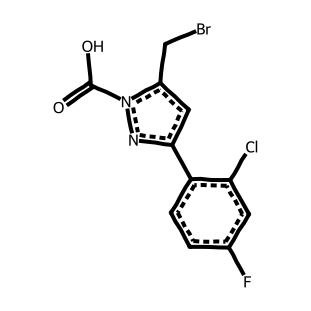 O=C(O)n1nc(-c2ccc(F)cc2Cl)cc1CBr